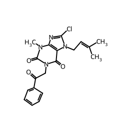 CC(C)=CCn1c(Cl)nc2c1c(=O)n(CC(=O)c1ccccc1)c(=O)n2C